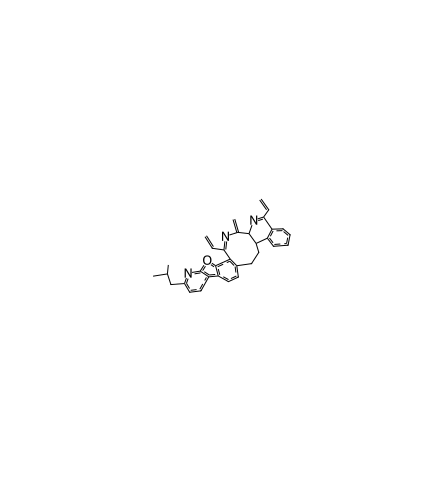 C=CC1=NC2C(=C)/N=C(/C=C)c3c(ccc4c3oc3nc(CC(C)C)ccc34)CCC2c2ccccc21